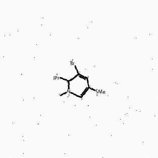 CSC1=CN(C)C(C(C)C)C(Br)=C1